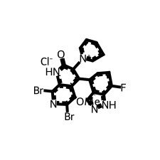 COc1c(Br)nc(Br)c2[nH]c(=O)c(-[n+]3ccccc3)c(-c3ccc(F)c4[nH]ncc34)c12.[Cl-]